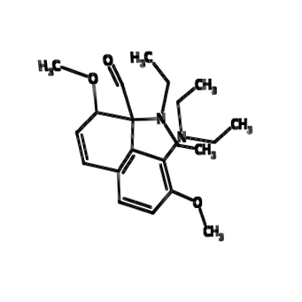 CCN(CC)c1c(OC)ccc2c1C(C=O)(N(CC)CC)C(OC)C=C2